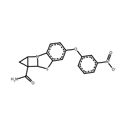 NC(=O)C12CC1N1c3ccc(Oc4cccc([N+](=O)[O-])c4)cc3SC12